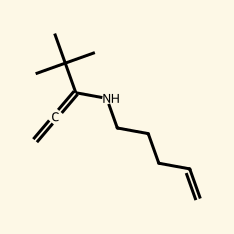 C=C=C(NCCCC=C)C(C)(C)C